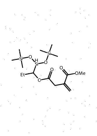 C=C(CC(=O)OC(CC)[SiH](O[Si](C)(C)C)O[Si](C)(C)C)C(=O)OC